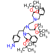 CC(C)(C)OC(=O)CN(CCN(CC(=O)OC(C)(C)C)CC(Cc1ccc(N)cc1)N(CC(=O)OC(C)(C)C)Cc1ccccc1)Cc1ccccc1